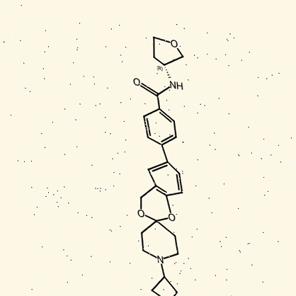 O=C(N[C@@H]1CCOC1)c1ccc(-c2ccc3c(c2)COC2(CCN(C4CCC4)CC2)O3)cc1